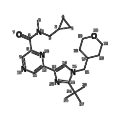 CN(CC1CC1)C(=O)c1cncc(-c2cn(CC3CCOCC3)c(C(C)(C)C)n2)n1